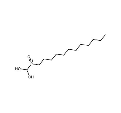 CCCCCCCCCCCC[PH](=O)C(O)O